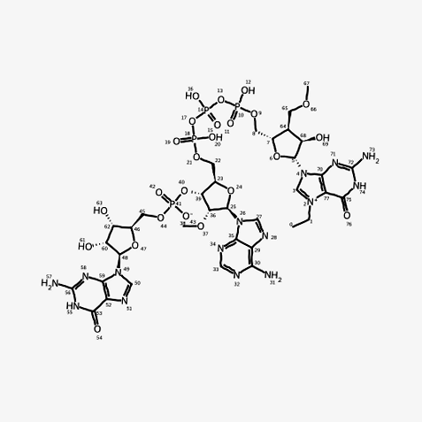 CC[n+]1cn([C@@H]2O[C@H](COP(=O)(O)OP(=O)(O)OP(=O)(O)OC[C@H]3O[C@@H](n4cnc5c(N)ncnc54)[C@H](OC)[C@@H]3OP(=O)([O-])OC[C@H]3O[C@@H](n4cnc5c(=O)[nH]c(N)nc54)[C@H](O)[C@@H]3O)[C@@H](COC)[C@H]2O)c2nc(N)[nH]c(=O)c21